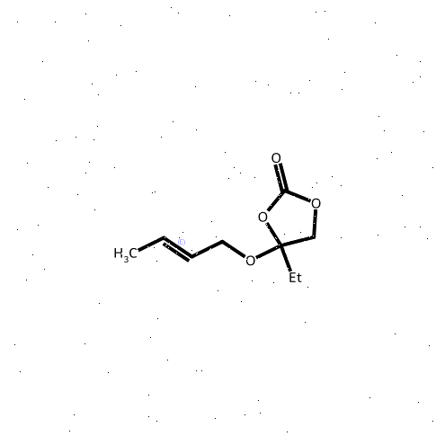 C/C=C/COC1(CC)COC(=O)O1